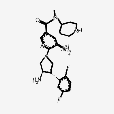 CN(C(=O)c1cnc(N2C[C@H](c3cc(F)ccc3F)[C@@H](N)C2)c(N)c1)C1CCNCC1